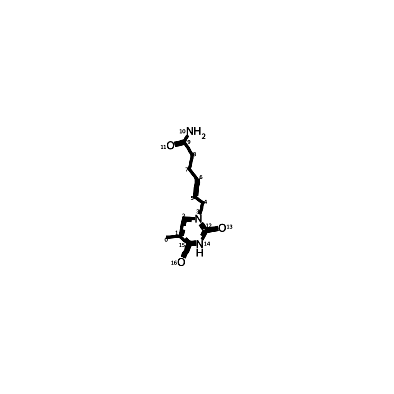 Cc1cn(CC=CCCC(N)=O)c(=O)[nH]c1=O